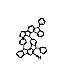 N#Cc1cc2c(c3c1C(c1ccccc1)c1ccc(C4c5ccccc5-c5ccc6c(c54)-c4ccccc4C6c4ccccc4)cc1-3)C(c1ccccc1)c1ccccc1-2